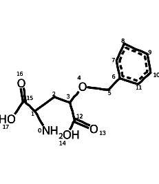 NC(CC(OCc1ccccc1)C(=O)O)C(=O)O